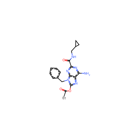 CCC(=O)Oc1nc2c(N)nc(C(=O)NCC3CC3)nc2n1Cc1ccccc1